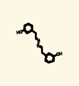 Oc1cccc(C/C=N/N=C/Cc2cccc(O)c2)c1